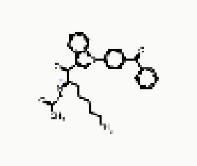 CCCCCC/C(=N\OC(C)=O)C(=O)c1cn(-c2ccc(C(=O)c3ccccc3)cc2)c2ccccc12